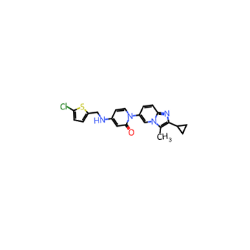 Cc1c(C2CC2)nc2ccc(-n3ccc(NCc4ccc(Cl)s4)cc3=O)cn12